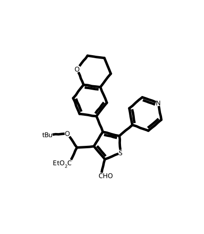 CCOC(=O)C(OC(C)(C)C)c1c(C=O)sc(-c2ccncc2)c1-c1ccc2c(c1)CCCO2